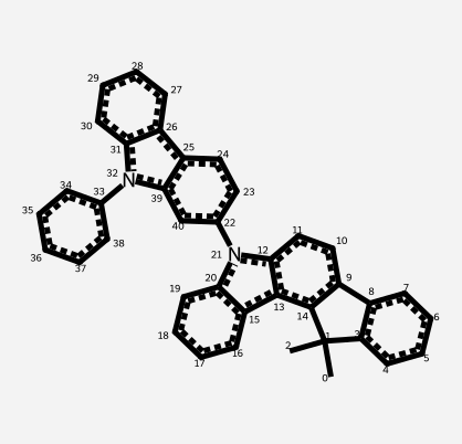 CC1(C)c2ccccc2-c2ccc3c(c21)c1ccccc1n3-c1ccc2c3ccccc3n(-c3ccccc3)c2c1